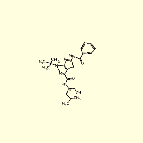 CC(C)C[C@H](CO)NC(=O)c1nn(C(C)(C)C)c2nc(NC(=O)c3ccccc3)sc12